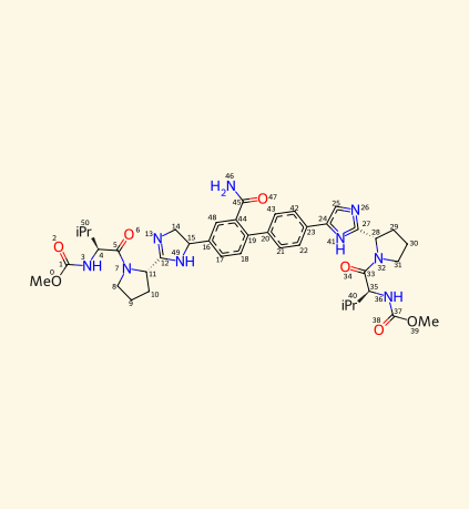 COC(=O)N[C@H](C(=O)N1CCC[C@H]1C1=NCC(c2ccc(-c3ccc(-c4cnc([C@@H]5CCCN5C(=O)[C@@H](NC(=O)OC)C(C)C)[nH]4)cc3)c(C(N)=O)c2)N1)C(C)C